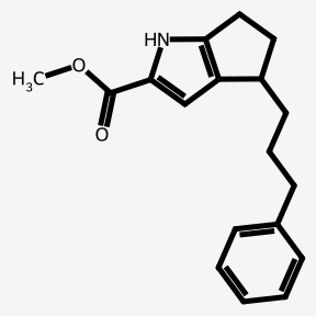 COC(=O)c1cc2c([nH]1)CCC2CCCc1ccccc1